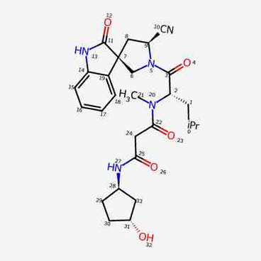 CC(C)C[C@@H](C(=O)N1C[C@]2(C[C@H]1C#N)C(=O)Nc1ccccc12)N(C)C(=O)CC(=O)N[C@@H]1CC[C@@H](O)C1